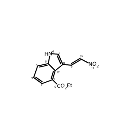 CCOC(=O)c1cccc2[nH]cc(/C=C/[N+](=O)[O-])c12